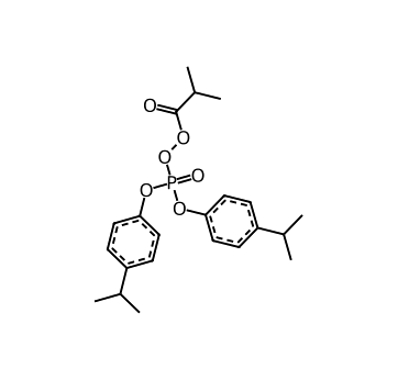 CC(C)C(=O)OOP(=O)(Oc1ccc(C(C)C)cc1)Oc1ccc(C(C)C)cc1